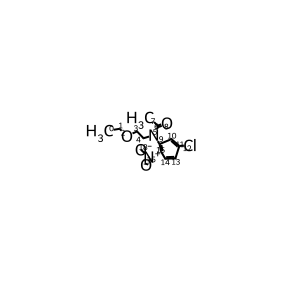 CCOCCN(C(C)=O)c1cc(Cl)ccc1[N+](=O)[O-]